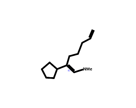 C=CCCC/C(=C\NC)C1CCCC1